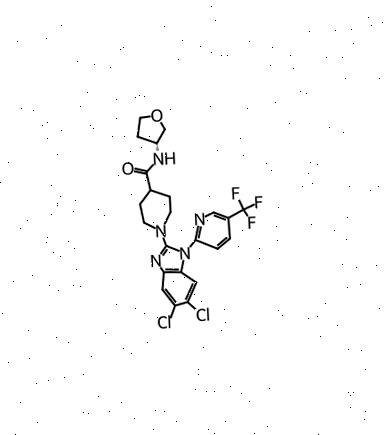 O=C(N[C@@H]1CCOC1)C1CCN(c2nc3cc(Cl)c(Cl)cc3n2-c2ccc(C(F)(F)F)cn2)CC1